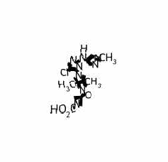 Cn1cc(Nc2ncc(Cl)c(N3C[C@]4(C)CN(C(=O)C5CN(C(=O)O)C5)C[C@]4(C)C3)n2)cn1